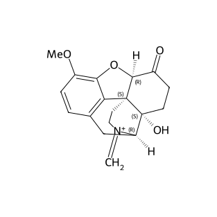 C=[N+]1CC[C@]23c4c5ccc(OC)c4O[C@H]2C(=O)CC[C@@]3(O)[C@H]1C5